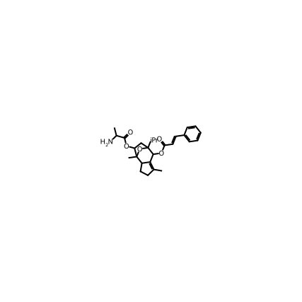 CC1=C2C(CC1)C1(C)OC(C(C)C)(CC1OC(=O)C(C)N)C2OC(=O)/C=C/c1ccccc1